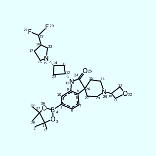 CC1(C)OB(c2ccc3c(c2)N([C@H]2C[C@@H](N4CCC(C(F)F)C4)C2)C(=O)C32CCN(C3COC3)CC2)OC1(C)C